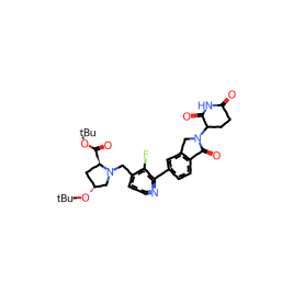 CC(C)(C)OC(=O)[C@@H]1C[C@@H](OC(C)(C)C)CN1Cc1ccnc(-c2ccc3c(c2)CN(C2CCC(=O)NC2=O)C3=O)c1F